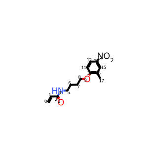 C=CC(=O)NCCCCOc1ccc([N+](=O)[O-])cc1C